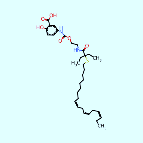 CC/C=C\C/C=C\C/C=C\CCCCCCCCSC(CC)(CC)C(=O)NCCOC(=O)Nc1ccc(O)c(C(=O)O)c1